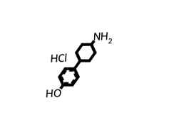 Cl.NC1CCC(c2ccc(O)cc2)CC1